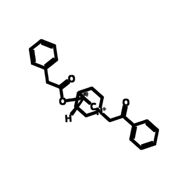 O=C(Cc1ccccc1)O[C@H]1C[N+]2(CC(=O)c3ccccc3)CCC1CC2